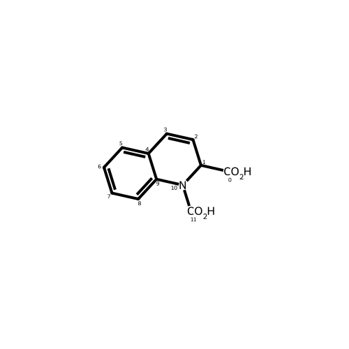 O=C(O)C1C=Cc2ccccc2N1C(=O)O